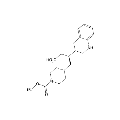 CC(C)(C)OC(=O)N1CCC(C[C@@H](CC(=O)O)C2CNc3ccccc3C2)CC1